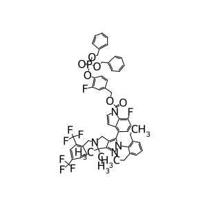 CCc1cccc(CC)c1-n1nc2c(c1-c1ccc(F)c3c1ccn3C(=O)OCc1ccc(OP(=O)(OCc3ccccc3)OCc3ccccc3)c(F)c1)CN(Cc1ccc(C(F)(F)F)cc1C(F)(F)F)C2(C)C